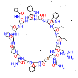 CCCC[C@H]1C(=O)N(C)[C@@H](CCCC)C(=O)N[C@@H](CCCNC(=N)N)C(=O)NC(C(=O)NCC(N)=O)CSCC(=O)N[C@@H](Cc2ccccc2)C(=O)N(C)[C@@H](C)C(=O)N[C@@H](CC(N)=O)C(=O)N2CCC[C@H]2C(=O)N[C@@H](Cc2cnc[nH]2)C(=O)N[C@@H](CC(C)C)C(=O)N[C@@H](CCNC(=O)C2CCC2)C(=O)N[C@@H](Cc2c[nH]c3ccccc23)C(=O)N[C@@H](CO)C(=O)N[C@@H](Cc2c[nH]c3ccccc23)C(=O)N1C